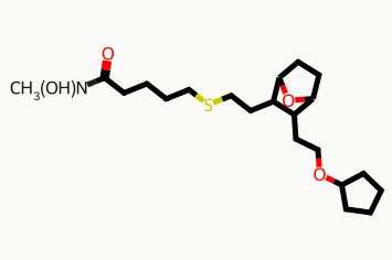 CN(O)C(=O)CCCCSCCC1C2CCC(O2)C1CCOC1CCCC1